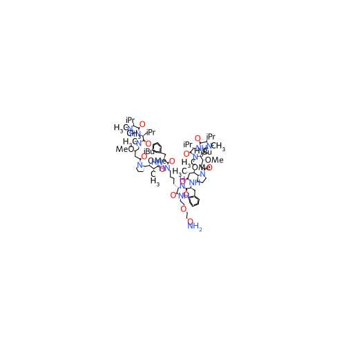 CC[C@H](C)C([C@@H](CC(=O)N1CCC[C@H]1[C@H](OC)[C@@H](C)C(=O)N[C@@H](Cc1ccccc1)C(=O)NCCCC[C@H](NC(=O)[C@H](Cc1ccccc1)NC(=O)[C@H](C)[C@@H](OC)[C@@H]1CCCN1C(=O)C[C@@H](OC)[C@H]([C@@H](C)CC)N(C)C(=O)[C@@H](NC(=O)C(C(C)C)N(C)C)C(C)C)C(=O)NCCOCCON)OC)N(C)C(=O)[C@@H](NC(=O)C(C(C)C)N(C)C)C(C)C